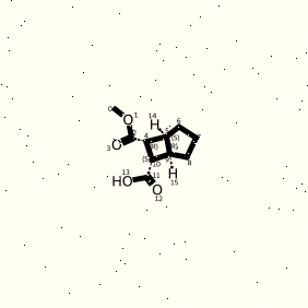 COC(=O)[C@@H]1[C@H]2CCC[C@H]2[C@@H]1C(=O)O